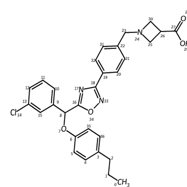 CCCc1ccc(OC(c2cccc(Cl)c2)c2nc(-c3ccc(CN4CC(C(=O)O)C4)cc3)no2)cc1